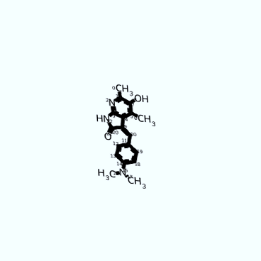 Cc1nc2c(c(C)c1O)/C(=C/c1ccc(N(C)C)cc1)C(=O)N2